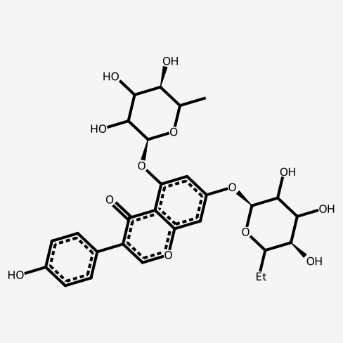 CCC1O[C@@H](Oc2cc(O[C@@H]3OC(C)[C@H](O)C(O)C3O)c3c(=O)c(-c4ccc(O)cc4)coc3c2)C(O)C(O)[C@H]1O